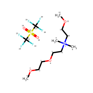 COCCOCC[N+](C)(C)CCOC.O=S(=O)(C(F)(F)F)C(F)(F)F